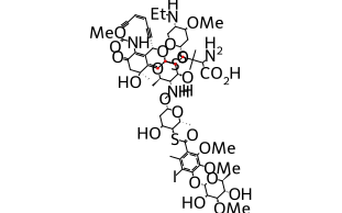 C#C/C=C\C#C[C@H](O[C@@H]1O[C@H](C)[C@@H](NO[C@H]2C[C@H](O)[C@H](SC(=O)c3c(C)c(I)c(O[C@@H]4O[C@@H](C)[C@H](O)[C@@H](OC)[C@H]4O)c(OC)c3OC)[C@@H](C)O2)[C@H](O)[C@H]1O[C@H]1C[C@H](OC)[C@@H](NCC)CO1)C1=C(NC(=O)OC)C(=O)C[C@](C)(O)/C1=C/CSSC(C)(C)C(N)C(=O)O